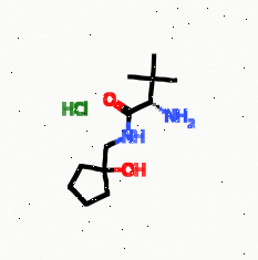 CC(C)(C)[C@H](N)C(=O)NCC1(O)CCCC1.Cl